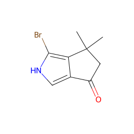 CC1(C)CC(=O)c2c[nH]c(Br)c21